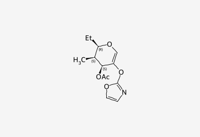 CC[C@H]1OC=C(Oc2ncco2)[C@@H](OC(C)=O)[C@H]1C